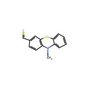 CN1c2ccccc2Sc2cc(C=S)ccc21